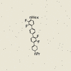 CCCCCCc1ccc(-c2ccc(-c3ccc(C4=CCC(CCC)CC4)c(F)c3F)cc2)c(F)c1F